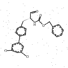 O=C[C@@H](Cc1ccc(-c2cc(Cl)cc(Cl)c2)cc1)NC(=O)OCc1ccccc1